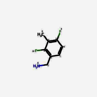 Cc1c(F)ccc(CN)c1F